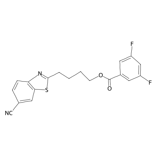 N#Cc1ccc2nc(CCCCOC(=O)c3cc(F)cc(F)c3)sc2c1